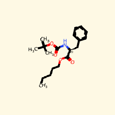 CCCCCOC(=O)[C@H](Cc1ccccc1)NC(=O)OC(C)(C)C